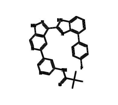 CC(C)(C)C(=O)Nc1cncc(-c2cc3c(-c4nc5c(-c6ccc(F)cc6)cccc5[nH]4)n[nH]c3cn2)c1